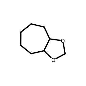 C1CCC2OCOC2CC1